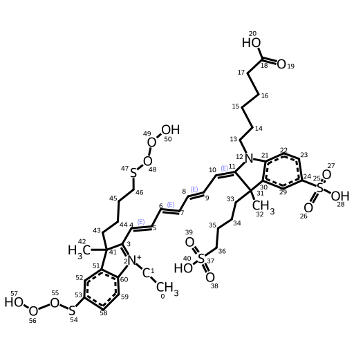 CC[N+]1=C(/C=C/C=C/C=C/C=C2/N(CCCCCC(=O)O)c3ccc(S(=O)(=O)O)cc3C2(C)CCCCS(=O)(=O)O)C(C)(CCCCSOOO)c2cc(SOOO)ccc21